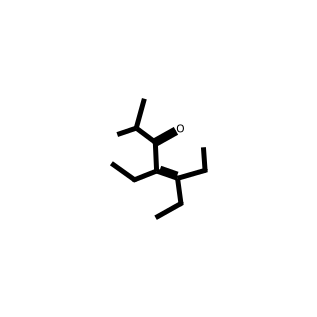 CCC(CC)=C(CC)C(=O)C(C)C